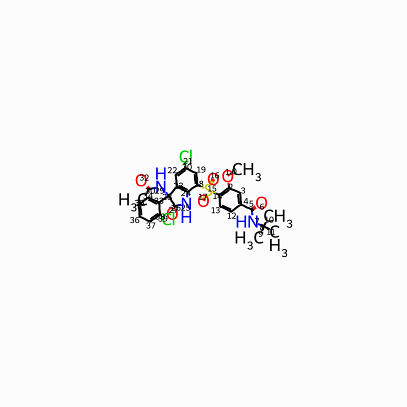 COc1cc(C(=O)NC(C)(C)C)ccc1S(=O)(=O)c1cc(Cl)cc2c1NC(=O)C2(NC(C)=O)c1ccccc1Cl